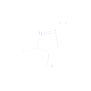 CC1=NC(F)=C(C)C1